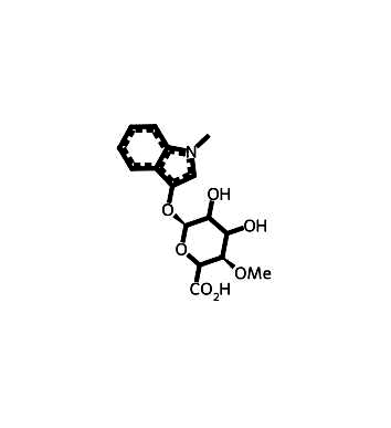 CO[C@H]1C(C(=O)O)O[C@@H](Oc2cn(C)c3ccccc23)C(O)C1O